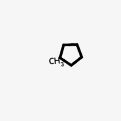 C1CCCC1.[CH3]